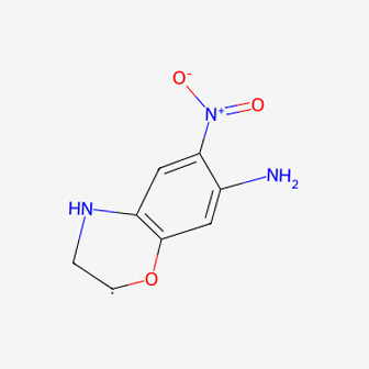 Nc1cc2c(cc1[N+](=O)[O-])NC[CH]O2